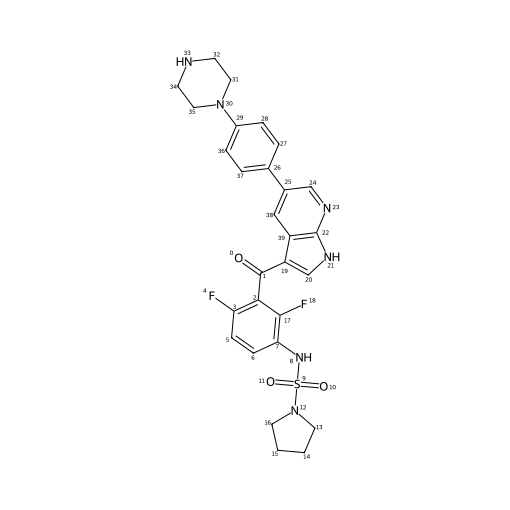 O=C(c1c(F)ccc(NS(=O)(=O)N2CCCC2)c1F)c1c[nH]c2ncc(-c3ccc(N4CCNCC4)cc3)cc12